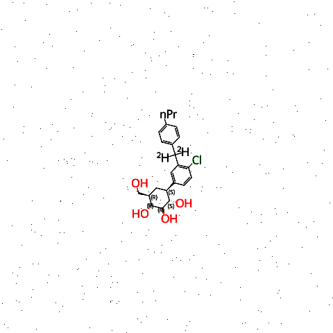 [2H]C([2H])(c1ccc(CCC)cc1)c1cc([C@@H]2C[C@H](CO)[C@@H](O)[C@H](O)[C@H]2O)ccc1Cl